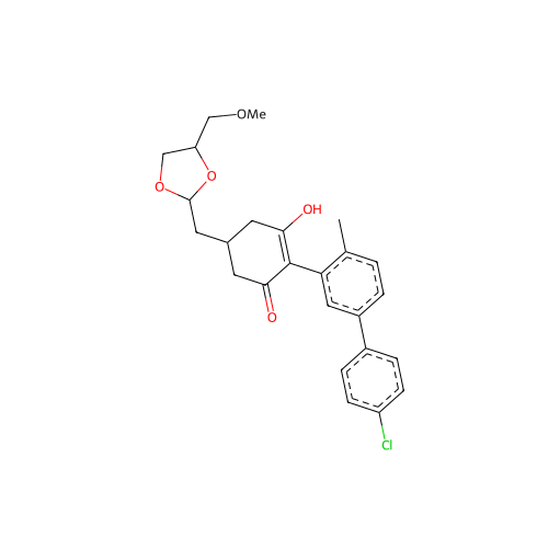 COCC1COC(CC2CC(=O)C(c3cc(-c4ccc(Cl)cc4)ccc3C)=C(O)C2)O1